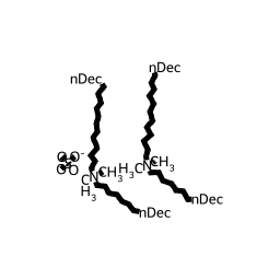 CCCCCCCCCCCCCCCCCCCCCC[N+](C)(C)CCCCCCCCCCCCCCCCC.CCCCCCCCCCCCCCCCCCCCCC[N+](C)(C)CCCCCCCCCCCCCCCCC.O=S(=O)([O-])[O-]